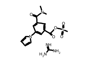 CN(C)C(=O)c1cc(C(=O)OS(C)(=O)=O)cc(-n2cccc2)c1.N=C(N)N